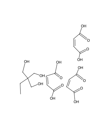 CCC(CO)(CO)CO.O=C(O)/C=C\C(=O)O.O=C(O)/C=C\C(=O)O.O=C(O)/C=C\C(=O)O